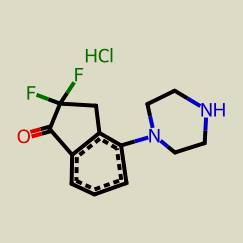 Cl.O=C1c2cccc(N3CCNCC3)c2CC1(F)F